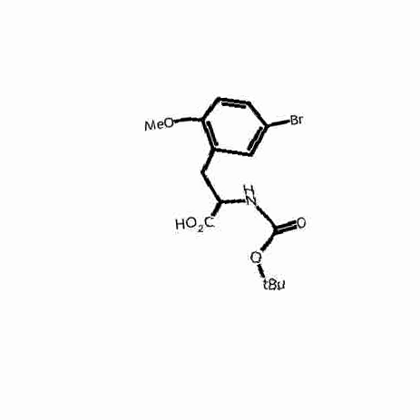 COc1ccc(Br)cc1CC(NC(=O)OC(C)(C)C)C(=O)O